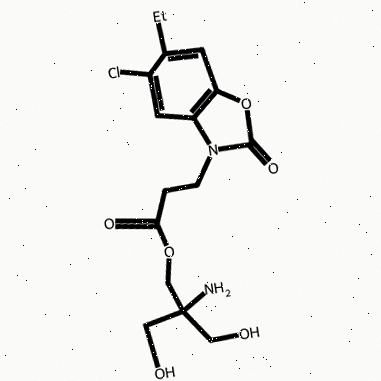 CCc1cc2oc(=O)n(CCC(=O)OCC(N)(CO)CO)c2cc1Cl